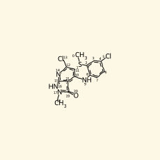 CSc1cc(Cl)ccc1Nc1cc(Cl)nc2[nH]n(C)c(=O)c12